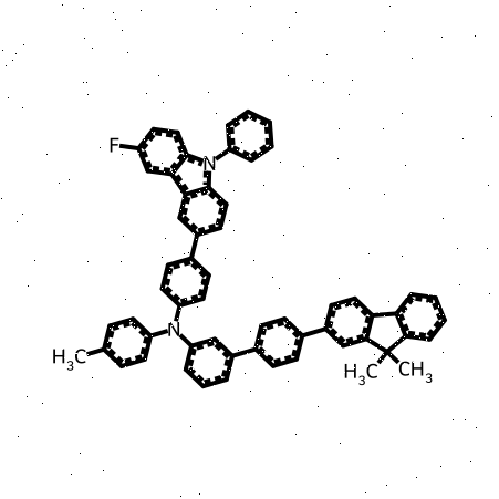 Cc1ccc(N(c2ccc(-c3ccc4c(c3)c3cc(F)ccc3n4-c3ccccc3)cc2)c2cccc(-c3ccc(-c4ccc5c(c4)C(C)(C)c4ccccc4-5)cc3)c2)cc1